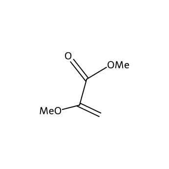 C=C(OC)C(=O)OC